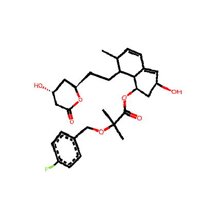 CC1C=CC2=CC(O)CC(OC(=O)C(C)(C)OCc3ccc(F)cc3)C2C1CC[C@@H]1C[C@@H](O)CC(=O)O1